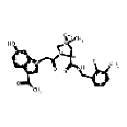 CC(=O)c1cn(CC(=O)N2C[Si](C)(C)C[C@H]2C(=O)NCc2cccc(C)c2F)c2cc(O)ccc12